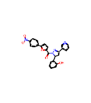 O=C(c1ccc(-c2ccc([N+](=O)[O-])cc2)o1)N1N=C(c2cccnc2)CC1c1ccccc1O